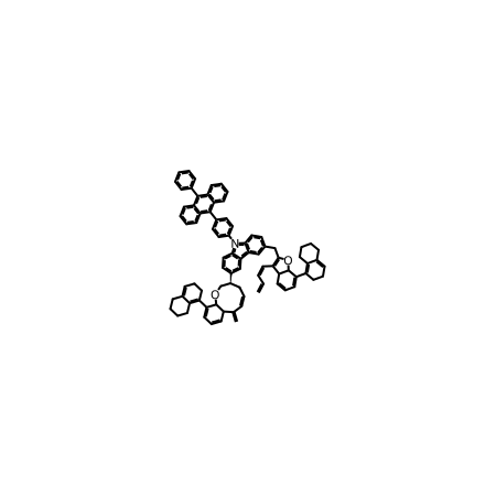 C=C/C=C\C1=C(Cc2ccc3c(c2)c2cc([C@H]4C/C=C\C(=C)C5C=CC=C(C6=C7CCCCC7=CCC6)C5OC4)ccc2n3-c2ccc(-c3c4ccccc4c(-c4ccccc4)c4ccccc34)cc2)OC2C(C3=C4CCCCC4=CCC3)=CC=CC12